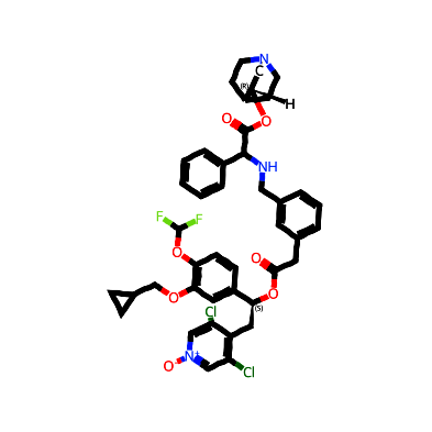 O=C(Cc1cccc(CNC(C(=O)O[C@H]2CN3CCC2CC3)c2ccccc2)c1)O[C@@H](Cc1c(Cl)c[n+]([O-])cc1Cl)c1ccc(OC(F)F)c(OCC2CC2)c1